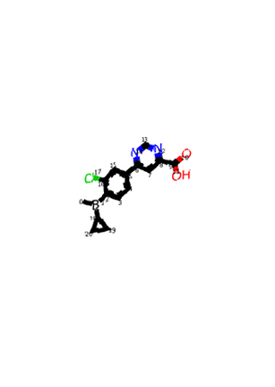 CB(c1ccc(-c2cc(C(=O)O)ncn2)cc1Cl)C1CC1